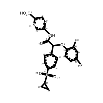 O=C(O)c1cnc(NC(=O)C(Oc2ccc(F)cc2F)c2ccc(S(=O)(=O)C3CC3)cc2)cn1